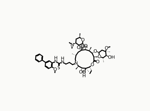 CC[C@H]1OC(=O)[C@H](C)[C@@H](O[C@H]2C[C@@](C)(OC)[C@@H](O)[C@H](C)O2)[C@H](C)[C@@H](O[C@@H]2O[C@H](C)C[C@H](N(C)C)[C@H]2O)[C@](C)(O)C[C@@H](C)CN(CCCNC(=S)Nc2cc(-c3ccccc3)ccc2OC)[C@H](C)[C@@H](O)[C@]1(C)O